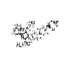 CN1CCN(C2CCN(c3ccc(Nc4nc(NC5CC6(COC6)C5)c(-c5ccnc6[nH]ccc56)nc4C(N)=O)cc3)CC2)CC1